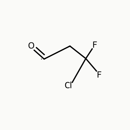 O=[C]CC(F)(F)Cl